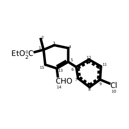 CCOC(=O)C1(C)CCC(c2ccc(Cl)cc2)=C(C=O)C1